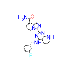 NC(=O)c1cccn2c(-c3nc4c(c(NCc5cccc(F)c5)n3)CCCN4)ncc12